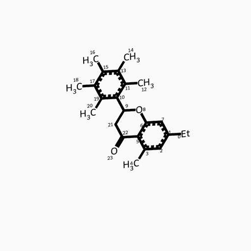 CCc1cc(C)c2c(c1)OC(c1c(C)c(C)c(C)c(C)c1C)CC2=O